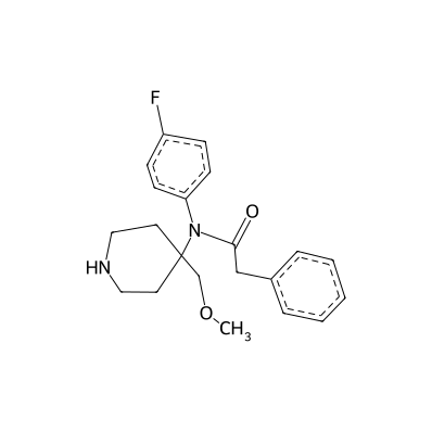 COCC1(N(C(=O)Cc2ccccc2)c2ccc(F)cc2)CCNCC1